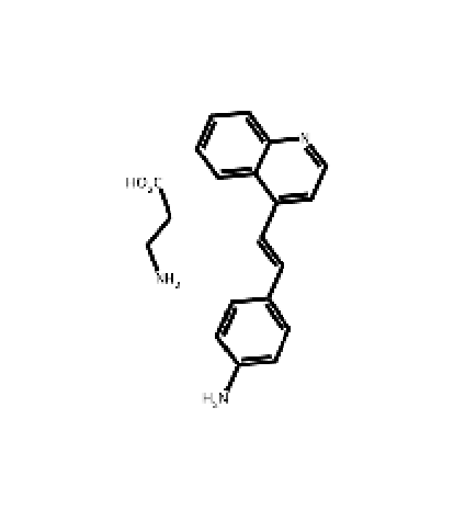 NCCC(=O)O.Nc1ccc(C=Cc2ccnc3ccccc23)cc1